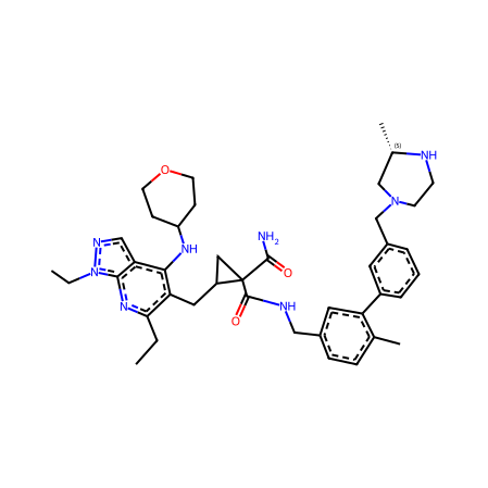 CCc1nc2c(cnn2CC)c(NC2CCOCC2)c1CC1CC1(C(N)=O)C(=O)NCc1ccc(C)c(-c2cccc(CN3CCN[C@@H](C)C3)c2)c1